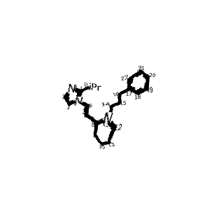 CC(C)c1nccn1CCC1CCCCN1CCCc1ccccc1